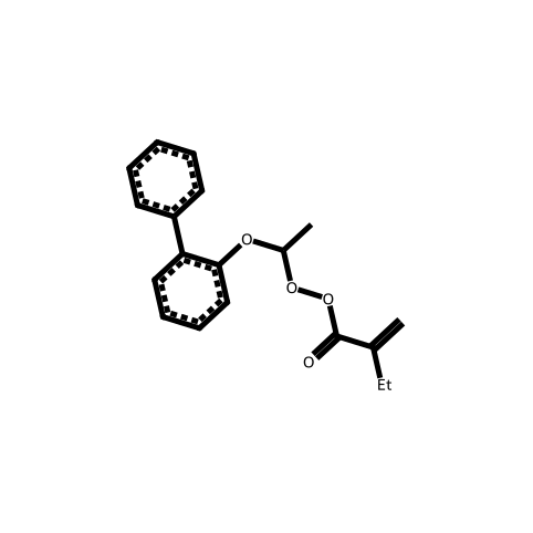 C=C(CC)C(=O)OOC(C)Oc1ccccc1-c1ccccc1